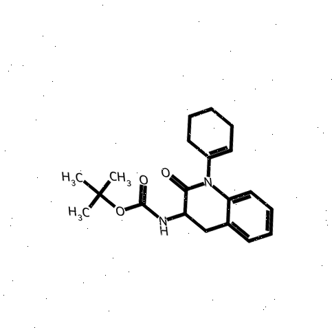 CC(C)(C)OC(=O)NC1Cc2ccccc2N(C2=CCCCC2)C1=O